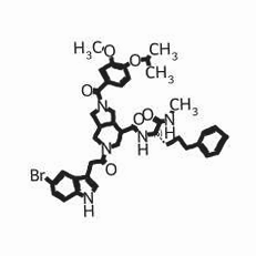 CNC(=O)[C@H](CCCc1ccccc1)NC(=O)C1CN(C(=O)Cc2c[nH]c3ccc(Br)cc23)CC2CN(C(=O)c3ccc(OC(C)C)c(OC)c3)CC21